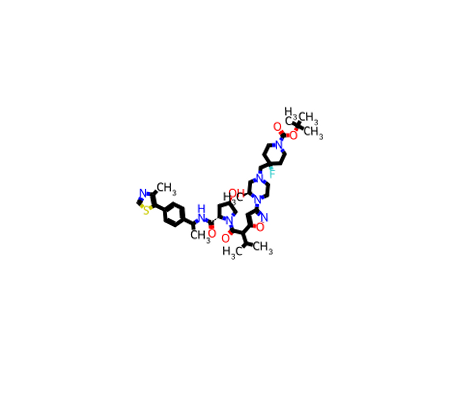 Cc1ncsc1-c1ccc(C(C)NC(=O)[C@@H]2C[C@@H](O)CN2C(=O)C(c2cc(N3CCN(CC4(F)CCN(C(=O)OC(C)(C)C)CC4)C[C@@H]3C)no2)C(C)C)cc1